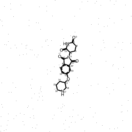 O=C1CCC(N2C(=O)c3ccc(OC4CCCNC4)cc3C2=O)C(=O)N1